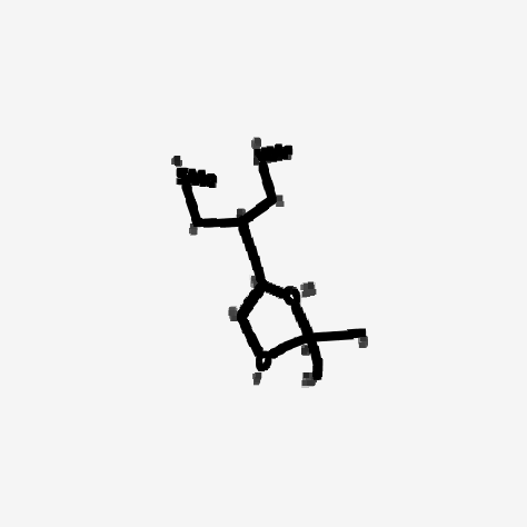 CNCC(CSC)C1COC(C)(C)O1